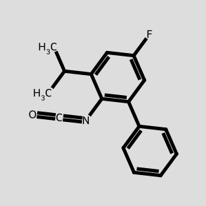 CC(C)c1cc(F)cc(-c2ccccc2)c1N=C=O